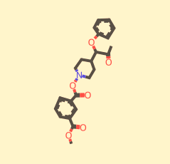 COC(=O)c1cccc(C(=O)ON2CCC(C(Oc3ccccc3)C(C)=O)CC2)c1